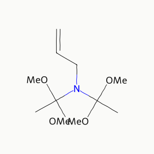 C=CCN(C(C)(OC)OC)C(C)(OC)OC